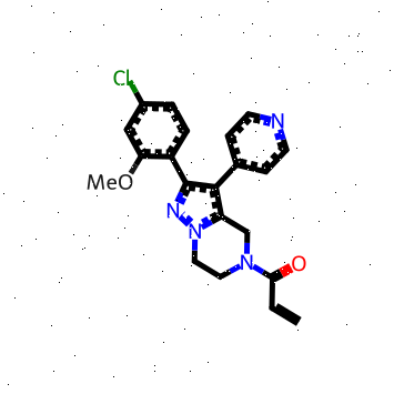 C=CC(=O)N1CCn2nc(-c3ccc(Cl)cc3OC)c(-c3ccncc3)c2C1